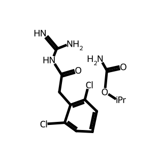 CC(C)OC(N)=O.N=C(N)NC(=O)Cc1c(Cl)cccc1Cl